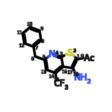 CC(=O)c1sc2nc(Cc3ccccc3)cc(C(F)(F)F)c2c1N